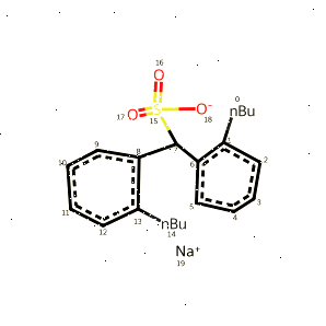 CCCCc1ccccc1C(c1ccccc1CCCC)S(=O)(=O)[O-].[Na+]